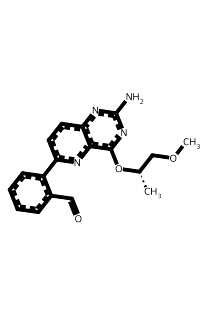 COC[C@H](C)Oc1nc(N)nc2ccc(-c3ccccc3C=O)nc12